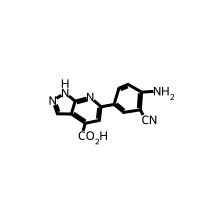 N#Cc1cc(-c2cc(C(=O)O)c3cn[nH]c3n2)ccc1N